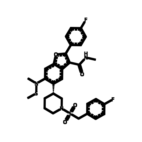 CNC(=O)c1c(-c2ccc(F)cc2)oc2cc(N(C)SC)c([C@H]3CCCN(S(=O)(=O)Cc4ccc(F)cc4)C3)cc12